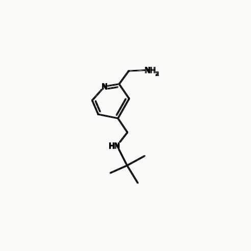 CC(C)(C)NCc1ccnc(CN)c1